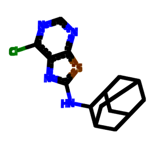 Clc1ncnc2sc(NC3C4CC5CC(C4)CC3C5)nc12